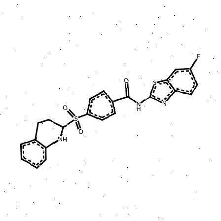 O=C(Nc1nc2ccc(F)cc2s1)c1ccc(S(=O)(=O)C2CCc3ccccc3N2)cc1